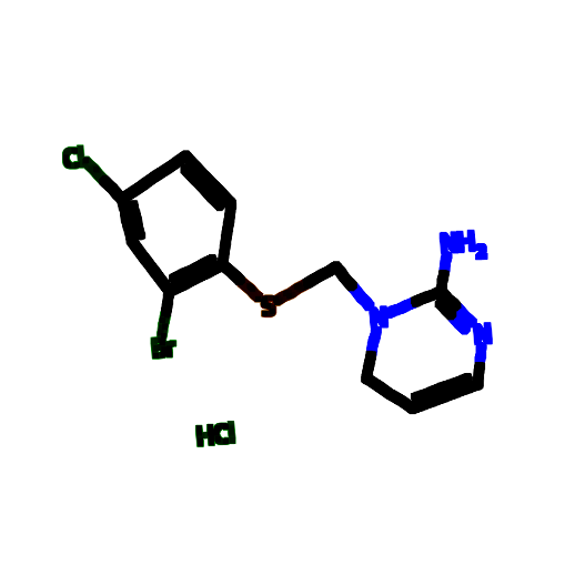 Cl.NC1=NC=CCN1CSc1ccc(Cl)cc1Br